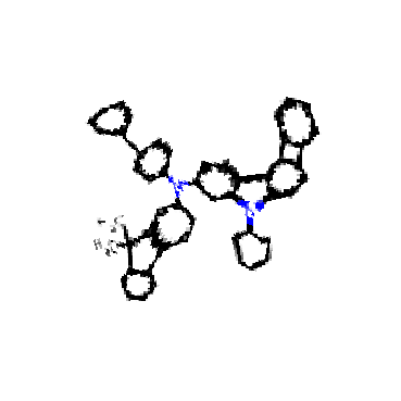 CC1(C)c2ccccc2-c2ccc(N(c3ccc(-c4ccccc4)cc3)c3ccc4c5c6c(ccc5n(C5C=CC=CC5)c4c3)-c3ccccc3-6)cc21